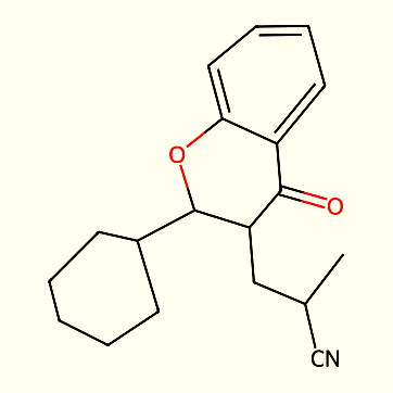 CC(C#N)CC1C(=O)c2ccccc2OC1C1CCCCC1